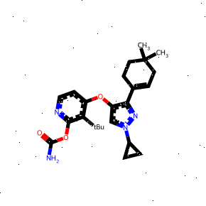 CC1(C)CC=C(c2nn(C3CC3)cc2Oc2ccnc(OC(N)=O)c2C(C)(C)C)CC1